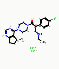 CCNC[C@@H](C(=O)N1CCN(c2ncnc3c2[C@H](C)CC3)CC1)c1ccc(Cl)cc1.Cl.Cl